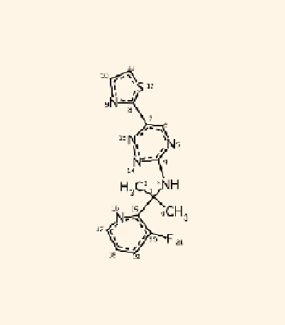 CC(C)(Nc1ncc(-c2nccs2)nn1)c1ncccc1F